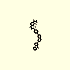 Cc1cnc2c(ccc3c(C)c(C)c(-c4ccc(-c5ccc6ccc(-c7ccc8c(c7)C(C)(C)c7ccccc7-8)cc6c5)cc4)nc32)c1C